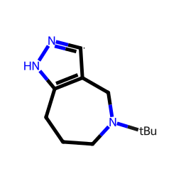 CC(C)(C)N1CCCc2[nH]n[c]c2C1